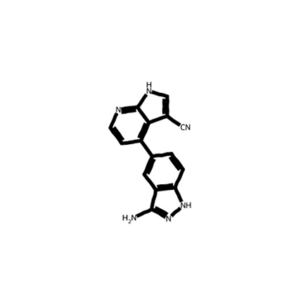 N#Cc1c[nH]c2nccc(-c3ccc4[nH]nc(N)c4c3)c12